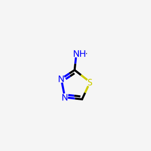 [NH]c1nncs1